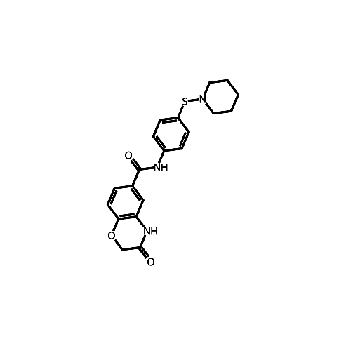 O=C1COc2ccc(C(=O)Nc3ccc(SN4CCCCC4)cc3)cc2N1